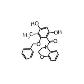 Cc1c(O)cc(O)c(C(=O)N2CCOc3ccccc32)c1OCc1ccccc1